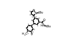 Cc1ccc(-c2cc(C(=O)NC(C)(C)C)cc(-c3ccnn3C(C)(C)C)c2)cc1F